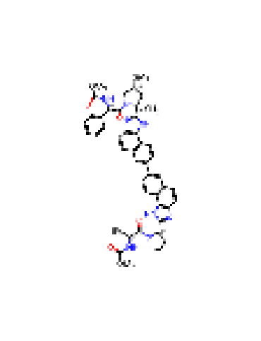 COC(=O)N[C@H](C(=O)N1CCC[C@H]1c1nc2ccc3cc(-c4ccc5c(ccc6nc([C@]7(C)C[C@H](SC)CN7C(=O)[C@H](NC(=O)OC)c7ccccc7)[nH]c65)c4)ccc3c2[nH]1)C(C)C